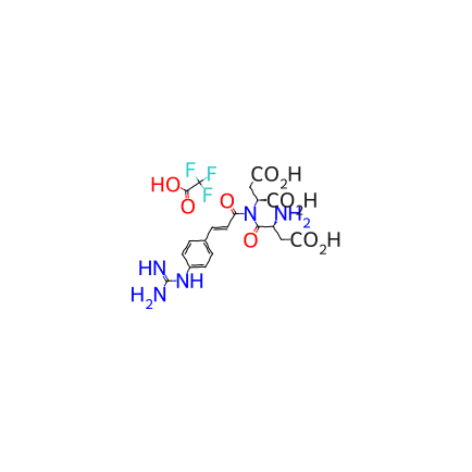 N=C(N)Nc1ccc(C=CC(=O)N(C(=O)[C@@H](N)CC(=O)O)[C@@H](CC(=O)O)C(=O)O)cc1.O=C(O)C(F)(F)F